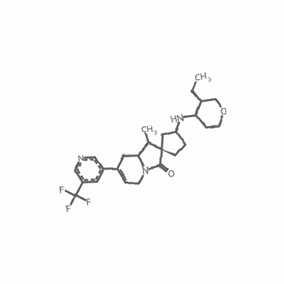 CCC1COCCC1NC1CC[C@@]2(C1)C(=O)N1CC=C(c3cncc(C(F)(F)F)c3)CC1C2C